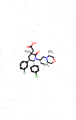 CC[C@@H](CN1CCOC[C@H]1C)N1C(=O)[C@@](C)(CC(=O)O)C[C@H](c2cccc(Cl)c2)[C@H]1c1ccc(Cl)cc1